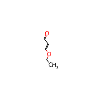 CCO/C=C/C=O